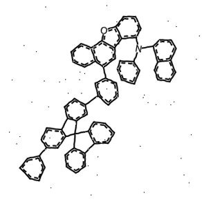 c1ccc(-c2ccc3c(c2)C2(c4ccccc4-c4ccccc42)c2cc(-c4cccc(-c5cc6c(oc7cccc(N(c8ccccc8)c8cccc9ccccc89)c76)c6ccccc56)c4)ccc2-3)cc1